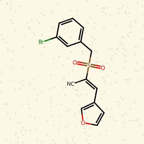 N#C/C(=C\c1ccoc1)S(=O)(=O)Cc1cccc(Br)c1